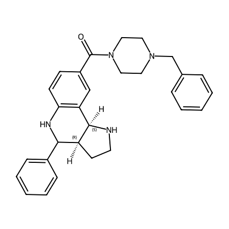 O=C(c1ccc2c(c1)[C@H]1NCC[C@H]1C(c1ccccc1)N2)N1CCN(Cc2ccccc2)CC1